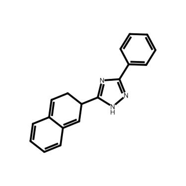 C1=c2ccccc2=CC(c2nc(-c3ccccc3)n[nH]2)C1